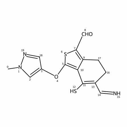 Cn1cc(Oc2sc(C=O)c3c2C(S)=C(C=N)CC3)cn1